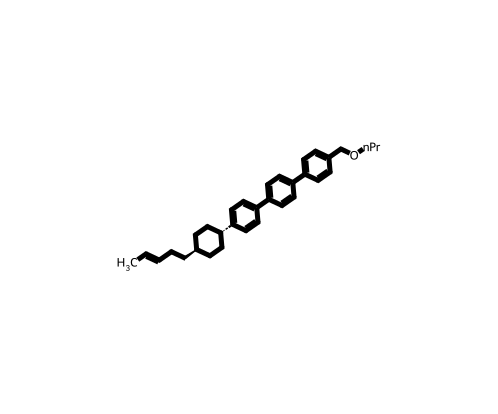 C/C=C/CC[C@H]1CC[C@H](c2ccc(-c3ccc(-c4ccc(COCCC)cc4)cc3)cc2)CC1